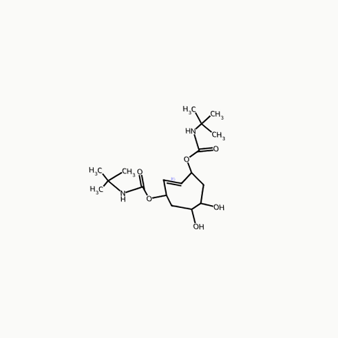 CC(C)(C)NC(=O)OC1/C=C/C(OC(=O)NC(C)(C)C)CC(O)C(O)C1